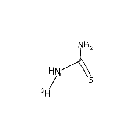 [2H]NC(N)=S